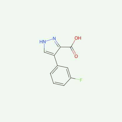 O=C(O)c1n[nH]cc1-c1cccc(F)c1